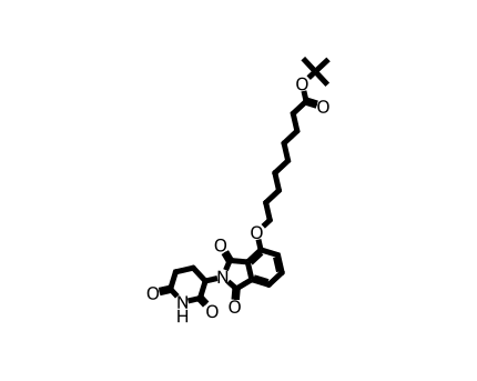 CC(C)(C)OC(=O)CCCCCCCCOc1cccc2c1C(=O)N(C1CCC(=O)NC1=O)C2=O